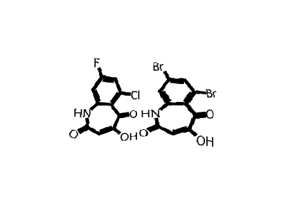 O=c1cc(O)c(=O)c2c(Br)cc(Br)cc2[nH]1.O=c1cc(O)c(=O)c2c(Cl)cc(F)cc2[nH]1